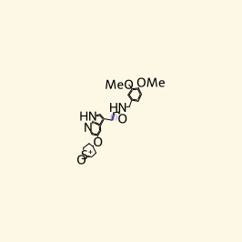 COc1ccc(CNC(=O)/C=C/c2c[nH]c3ncc(OC4CC[S+]([O-])CC4)cc23)cc1OC